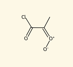 CC(=[O+][O-])C(=O)Cl